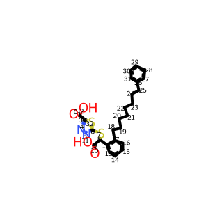 O=C(O)c1nnc(SC(C(=O)O)c2ccccc2CCCCCCCCc2ccccc2)s1